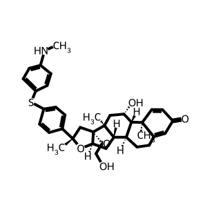 CNc1ccc(Sc2ccc([C@]3(C)C[C@]4(C(=O)CO)[C@@H](C[C@H]5[C@@H]6CCC7=CC(=O)C=C[C@]7(C)[C@H]6[C@@H](O)C[C@@]54C)O3)cc2)cc1